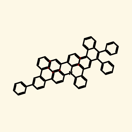 c1ccc(-c2ccc(-c3ccc(N(c4ccccc4-c4ccccc4)c4ccccc4-c4ccc5c(c4)c(-c4ccccc4)c(-c4ccccc4)c4ccccc45)cc3)c(-c3ccccc3)c2)cc1